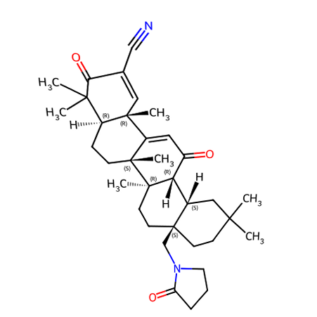 CC1(C)CC[C@]2(CN3CCCC3=O)CC[C@]3(C)[C@H](C(=O)C=C4[C@@]5(C)C=C(C#N)C(=O)C(C)(C)[C@@H]5CC[C@]43C)[C@@H]2C1